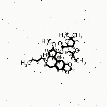 CCCCN1CCc2cc3c(cc2[C@@H]2[C@H](OC(=O)[C@]4(CC(=O)OC)CCC(C)(C)O4)C(OC)=C[C@@H]21)OCO3